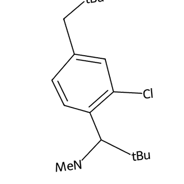 CNC(c1ccc(CC(C)(C)C)cc1Cl)C(C)(C)C